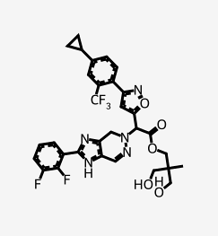 CC(CO)(CO)COC(=O)C(c1cc(-c2ccc(C3CC3)cc2C(F)(F)F)no1)N1Cc2nc(-c3cccc(F)c3F)[nH]c2C=N1